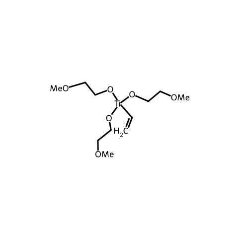 C=[CH][Ti]([O]CCOC)([O]CCOC)[O]CCOC